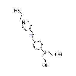 OCCN(CCO)c1ccc(/C=C/C2=CCN(CCS)C=C2)cc1